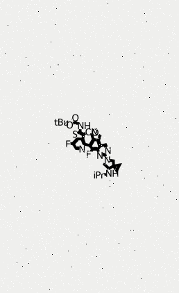 CC(C)NC1CN(c2ncc3c4c(c(-c5ncc(F)c6sc(NC(=O)OC(C)(C)C)c(C#N)c56)c(F)c3n2)COC4)CC12CC2